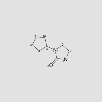 O=C1[N]CCN1C1CCCC1